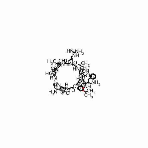 CC[C@H](C)[C@@H]1NC(=O)[C@@H](CCCNC(=N)N)NC(=O)[C@H](CC(C)C)NC(=O)[C@H]([C@H](O)C(C)C)NC(=O)[C@@H](NC(=O)[C@H](CC(C)C)NC(=O)[C@H](CN)Cc2ccccc2)[C@@H](c2ccccc2)OC(=O)[C@H](CO)NC(=O)[C@H]([C@H](O)C(N)=O)NC(=O)CNC(=O)[C@H]([C@H](C)O)NC1=O